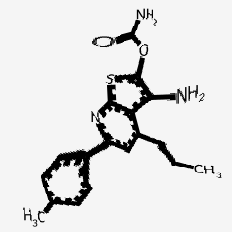 CCCc1cc(-c2ccc(C)cc2)nc2sc(OC(N)=O)c(N)c12